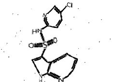 O=S(=O)(Nc1ccc(Cl)cn1)c1c[nH]c2ncccc12